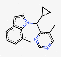 Cc1cncnc1C(C1CC1)n1ccc2cccc(C)c21